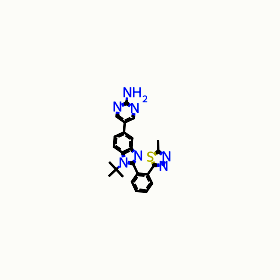 Cc1nnc(-c2ccccc2-c2nc3cc(-c4cnc(N)nc4)ccc3n2C(C)(C)C)s1